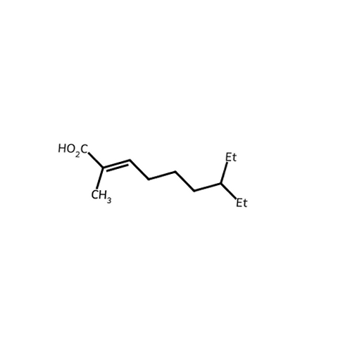 CCC(CC)CCCC=C(C)C(=O)O